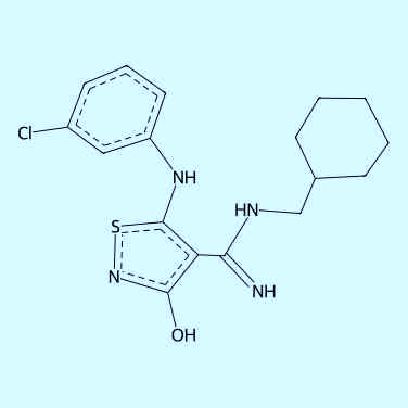 N=C(NCC1CCCCC1)c1c(O)nsc1Nc1cccc(Cl)c1